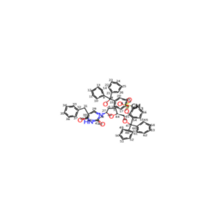 CS(=O)(=O)O[C@H]1[C@@H](OC(c2ccccc2)(c2ccccc2)c2ccccc2)[C@H](n2cc(Cc3ccccc3)c(=O)[nH]c2=O)O[C@@H]1COC(c1ccccc1)(c1ccccc1)c1ccccc1